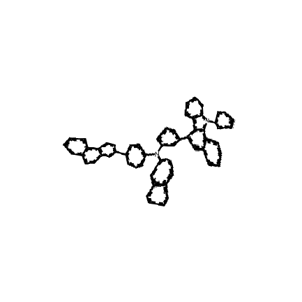 c1ccc(-n2c3ccccc3c3c(-c4cccc(N(c5ccc(-c6ccc7c(ccc8ccccc87)c6)cc5)c5ccc6ccccc6c5)c4)cc4ccccc4c32)cc1